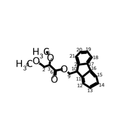 COCC(OC)C(=O)OCC1c2ccccc2-c2ccccc21